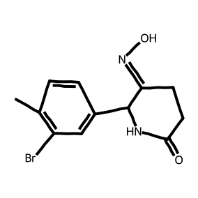 Cc1ccc(C2NC(=O)CC/C2=N\O)cc1Br